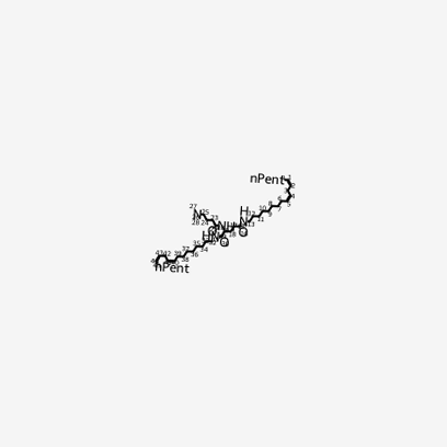 CCCCC/C=C\C/C=C\CCCCCCCCNC(=O)CCC(NC(=O)CCCN(C)C)C(=O)NCCCCCCCC/C=C\C/C=C\CCCCC